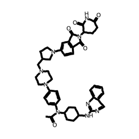 CC(=O)N(c1ccc(N2CCN(CC3CCN(c4ccc5c(c4)C(=O)N(C4CCC(=O)NC4=O)C5=O)C3)CC2)cc1)C1CCC(Nc2ncc3ccccc3n2)CC1